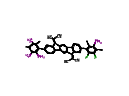 Cc1c(F)c(F)c(-c2ccc3c(c2)C(=C(C#N)C#N)c2cc4c(cc2-3)C(=C(C#N)C#N)c2cc(-c3c(C)c(P)c(C)c(P)c3P)ccc2-4)c(C)c1P